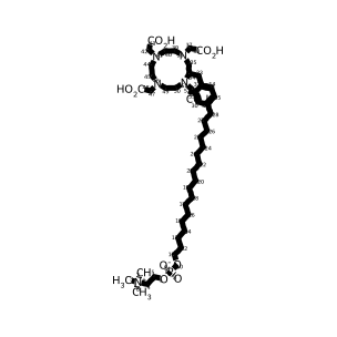 C[N+](C)(C)CCOP(=O)([O-])OCCCCCCCCCCCCCCCCCCc1ccc(CC2CN(CC(=O)O)CCN(CC(=O)O)CCN(CC(=O)O)CCN2CC(=O)O)cc1